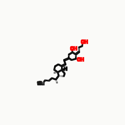 C[C@H](CCCC(C)(C)C)[C@H]1CC[C@H]2/C(=C/C=C3C[C@@H](O)C(=CCCO)[C@H](O)C3)CCC[C@]12C